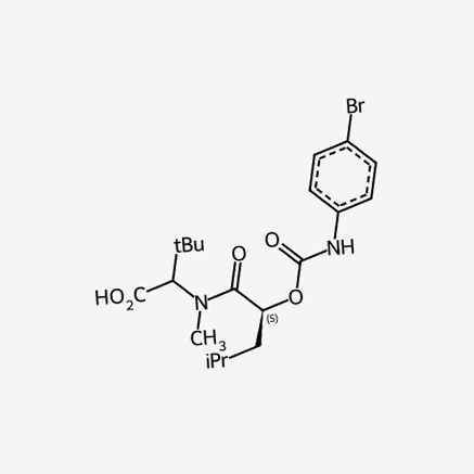 CC(C)C[C@H](OC(=O)Nc1ccc(Br)cc1)C(=O)N(C)C(C(=O)O)C(C)(C)C